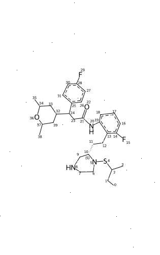 CCC(C)SN1CCNC[C@@H]1CCc1c(F)cccc1NC(=O)CC(c1ccc(F)cc1)C1CC(C)OC(C)C1